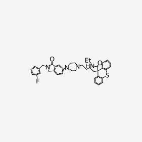 CCNC(=O)C1(CCCCN2CCN(c3ccc4c(c3)C(=O)N(Cc3cccc(F)c3)C4)CC2)c2ccccc2Sc2ccccc21